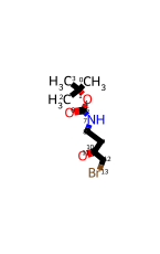 CC(C)(C)OC(=O)NCCC(=O)CBr